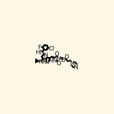 CN1CCN(CCC(=O)OCN2C(=O)NC(=Cc3cnn4c(NC5CC5)cc(Nc5cc(Cl)ccc5F)nc34)C2=O)CC1